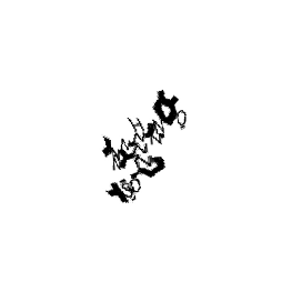 COc1cc(-n2cnc(Nc3nc(N4CCC[C@H]4CO[Si](C)(C)C(C)(C)C)c4cnn(C(C)C)c4n3)c2)cc(C)c1C